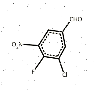 O=Cc1cc(Cl)c(F)c([N+](=O)[O-])c1